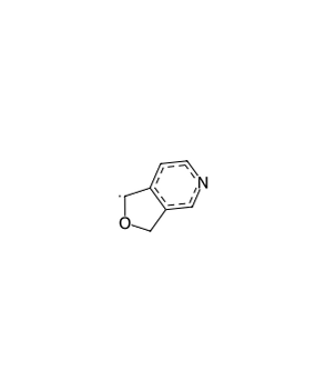 [CH]1OCc2cnccc21